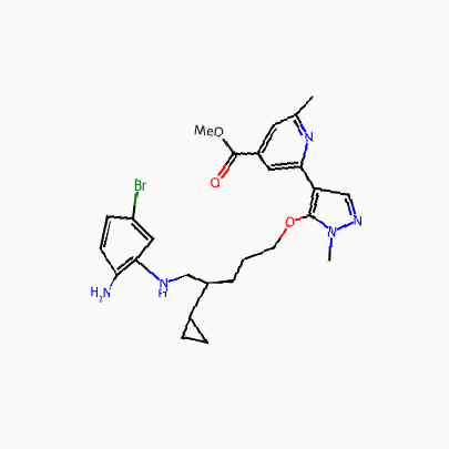 COC(=O)c1cc(C)nc(-c2cnn(C)c2OCCC[C@H](CNc2cc(Br)ccc2N)C2CC2)c1